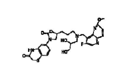 COc1ccc2ncc(F)c(CN(CCCC3CN(c4ccc5c(c4)NC(=O)CS5)C(=O)O3)CC(O)CO)c2n1